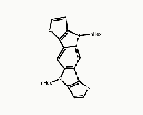 CCCCCCn1c2cc3c4sccc4n(CCCCCC)c3cc2c2sccc21